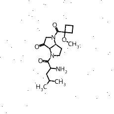 COC1(C(=O)N2CC(=O)C3C2CCN3C(=O)C(N)CC(C)C)CCC1